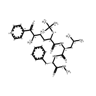 CNC(=O)[C@H](Cc1ccccc1)NC(=O)[C@H](CC(C)C)NC(=O)C(CCC(N)C(=O)c1ccncc1)SC(C)(C)C